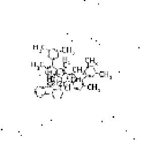 Cc1cc(C)cc(-c2c(C)ccc3c2C=C(C(C)C)[CH]3[Zr]([Cl])([Cl])([c]2cccc3c2[SiH2]c2ccccc2-3)[CH]2C(C(C)C)=Cc3c2ccc(C)c3-c2cc(C)cc(C)c2)c1